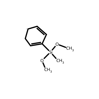 CO[Si](C)(OC)C1=CC[CH]C=C1